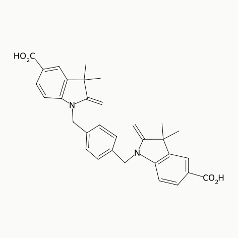 C=C1N(Cc2ccc(CN3C(=C)C(C)(C)c4cc(C(=O)O)ccc43)cc2)c2ccc(C(=O)O)cc2C1(C)C